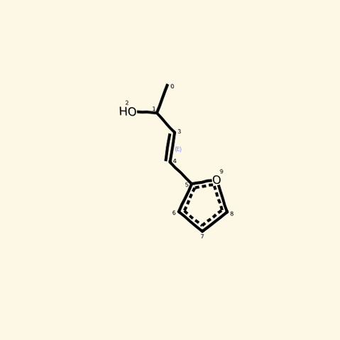 CC(O)/C=C/c1ccco1